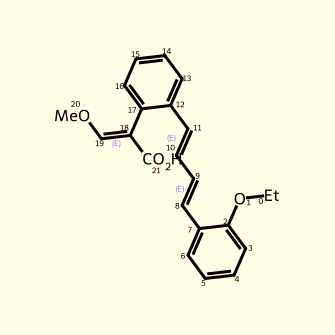 CCOc1ccccc1/C=C/C=C/c1ccccc1/C(=C\OC)C(=O)O